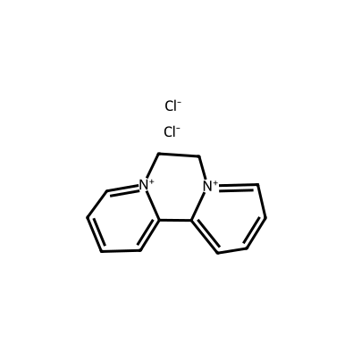 [Cl-].[Cl-].c1cc[n+]2c(c1)-c1cccc[n+]1CC2